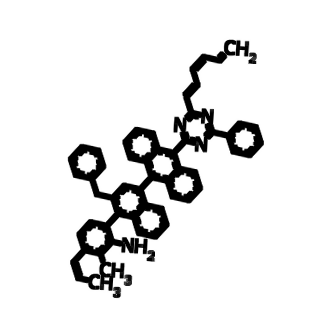 C=C/C=C\C=C\c1nc(-c2ccccc2)nc(-c2c3ccccc3c(-c3cc(Cc4ccccc4)c(-c4ccc(/C=C\C)c(C)c4N)c4ccccc34)c3ccccc23)n1